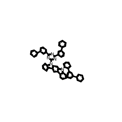 c1ccc(-c2cccc(-c3nc(-c4cccc(-c5ccccc5)c4)nc(-n4c5ccccc5c5cc6c7ccccc7n(-c7ccccc7-c7cccc(-c8ccccc8)c7)c6cc54)n3)c2)cc1